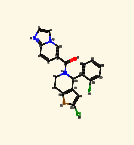 O=C(c1ccc2nccn2c1)N1CCc2sc(Cl)cc2C1c1ccccc1F